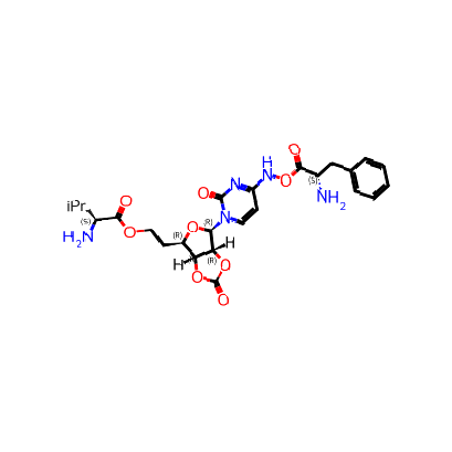 CC(C)[C@H](N)C(=O)OCC[C@H]1O[C@@H](n2ccc(NOC(=O)[C@@H](N)Cc3ccccc3)nc2=O)[C@@H]2OC(=O)O[C@@H]21